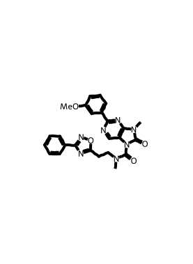 COc1cccc(-c2ncc3c(n2)n(C)c(=O)n3C(=O)N(C)CCc2nc(-c3ccccc3)no2)c1